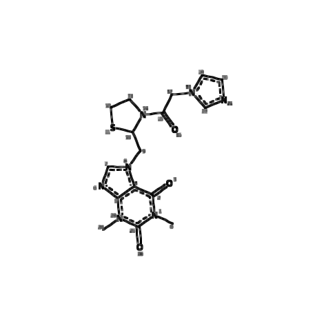 Cn1c(=O)c2c(ncn2CC2SCCN2C(=O)Cn2ccnc2)n(C)c1=O